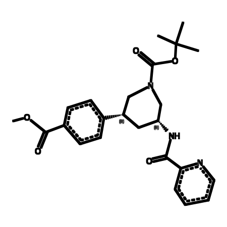 COC(=O)c1ccc([C@H]2C[C@@H](NC(=O)c3ccccn3)CN(C(=O)OC(C)(C)C)C2)cc1